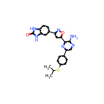 CC(C)Sc1ccc(-c2cnc(N)c(-c3cc(-c4ccc5[nH]c(=O)[nH]c5c4)no3)n2)cc1